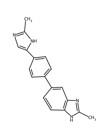 Cc1ncc(-c2ccc(-c3ccc4[nH]c(C)nc4c3)cc2)[nH]1